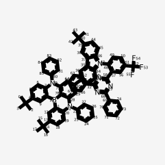 CC(C)(C)c1ccc2c(c1)B1c3cc(C(C)(C)C)ccc3N(c3ccccc3)c3cc(-c4ccc5c(c4)c4cc(C(C)(C)C)ccc4n5-c4ccc(C(F)(F)F)cc4-c4nc(-c5ccccc5)nc(-c5ccccc5)n4)cc(c31)N2c1ccccc1